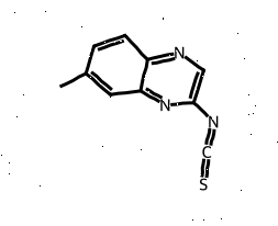 Cc1ccc2ncc(N=C=S)nc2c1